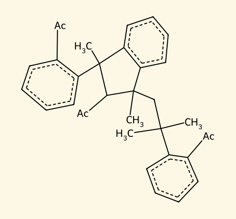 CC(=O)c1ccccc1C(C)(C)CC1(C)c2ccccc2C(C)(c2ccccc2C(C)=O)C1C(C)=O